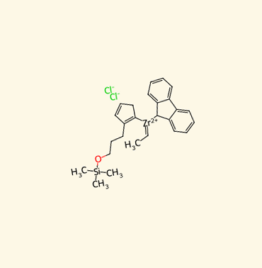 C[CH]=[Zr+2]([C]1=C(CCCO[Si](C)(C)C)C=CC1)[CH]1c2ccccc2-c2ccccc21.[Cl-].[Cl-]